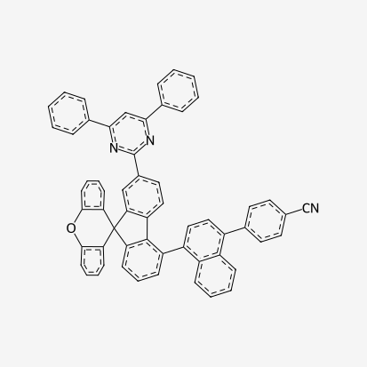 N#Cc1ccc(-c2ccc(-c3cccc4c3-c3ccc(-c5nc(-c6ccccc6)cc(-c6ccccc6)n5)cc3C43c4ccccc4Oc4ccccc43)c3ccccc23)cc1